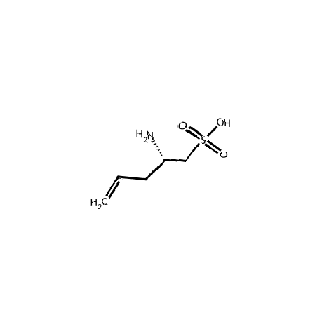 C=CC[C@H](N)CS(=O)(=O)O